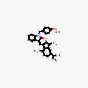 COc1ccc(CN2C(=O)C(=Cc3cc(C)c4cc(C(C)C)ccc(C)c3-4)c3ccccc32)cc1